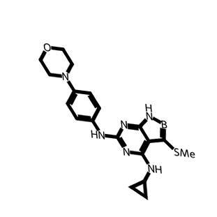 CSc1b[nH]c2nc(Nc3ccc(N4CCOCC4)cc3)nc(NC3CC3)c12